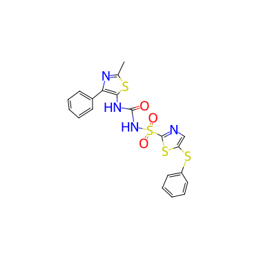 Cc1nc(-c2ccccc2)c(NC(=O)NS(=O)(=O)c2ncc(Sc3ccccc3)s2)s1